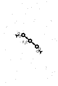 C=C(C)C(=O)Oc1ccc(C#Cc2ccc(C#Cc3cccc(OC(=O)C(=C)C)c3)c(C(F)(F)F)c2)cc1